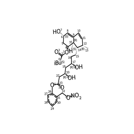 CC[C@H](C)C(=O)O[C@H]1C[C@H](O)C=C2C=C[C@H](C)[C@H](CC[C@@H](O)C[C@@H](O)CC(=O)Oc3ccccc3CO[N+](=O)[O-])[C@H]21